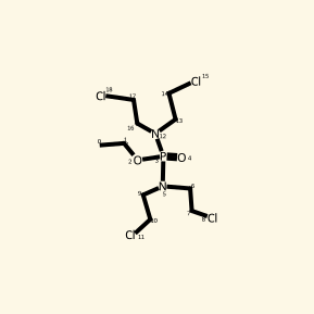 C[CH]OP(=O)(N(CCCl)CCCl)N(CCCl)CCCl